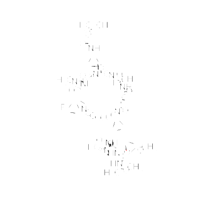 CC[C@@H](C)OCC(=O)NCc1cccc(C[C@@H]2NC(=O)CNC(=O)[C@H](C)NC(=O)CCC(=O)N(Cc3ccc(CCNC(=O)[C@]4(C)CCCN4C(=O)[C@H](Cc4ccc(OC)cc4)NC(=O)[C@H](CC)NC(C)=O)cc3)CCCCCCn3cc(c4cc(F)ccc43)C[C@@H](C(=O)NC)NC2=O)c1